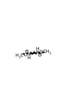 CCOC(=O)NC=CC=CNC(=O)OCC